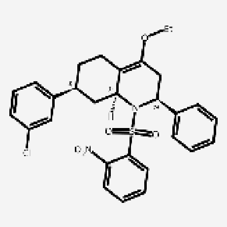 CCOC1=C2CC[C@H](c3cccc(Cl)c3)C[C@@H]2N(S(=O)(=O)c2ccccc2[N+](=O)[O-])[C@H](c2ccccc2)C1